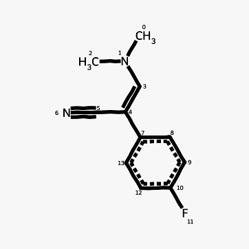 CN(C)C=C(C#N)c1ccc(F)cc1